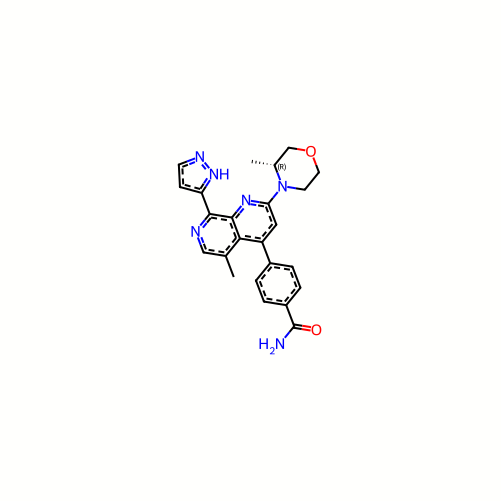 Cc1cnc(-c2ccn[nH]2)c2nc(N3CCOC[C@H]3C)cc(-c3ccc(C(N)=O)cc3)c12